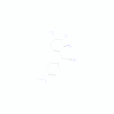 N#CC(c1ccc([N+](=O)[O-])cc1)c1ccc([N+](=O)[O-])c2nsnc12